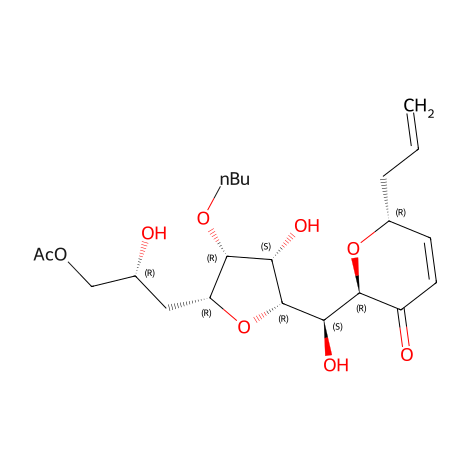 C=CC[C@@H]1C=CC(=O)[C@@H]([C@@H](O)[C@@H]2O[C@H](C[C@@H](O)COC(C)=O)[C@H](OCCCC)[C@@H]2O)O1